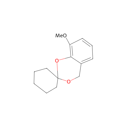 COc1cccc2c1OC1(CCCCC1)OC2